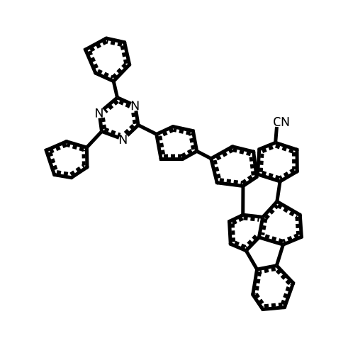 N#Cc1ccc(-c2ccc3c4c(ccc(-c5cccc(-c6ccc(-c7nc(-c8ccccc8)nc(-c8ccccc8)n7)cc6)c5)c24)-c2ccccc2-3)cc1